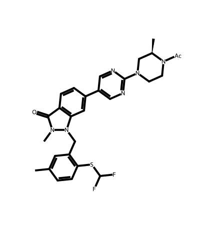 CC(=O)N1CCN(c2ncc(-c3ccc4c(=O)n(C)n(Cc5cc(C)ccc5SC(F)F)c4c3)cn2)C[C@H]1C